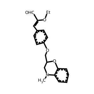 CCO/C(C=O)=C\c1ccc(OCC2CN(C)c3ccccc3O2)cc1